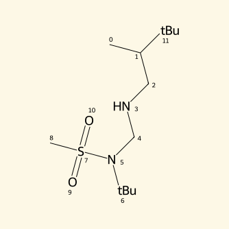 CC(CNCN(C(C)(C)C)S(C)(=O)=O)C(C)(C)C